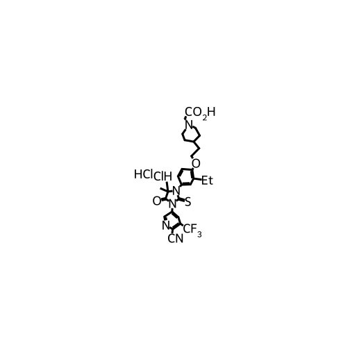 CCc1cc(N2C(=S)N(c3cnc(C#N)c(C(F)(F)F)c3)C(=O)C2(C)C)ccc1OCCC1CCN(CC(=O)O)CC1.Cl.Cl